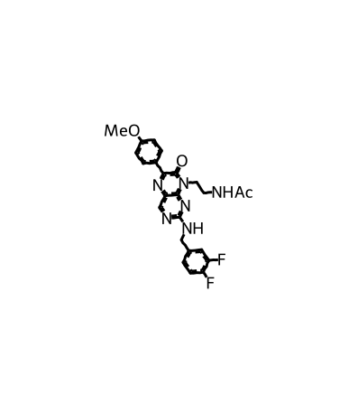 COc1ccc(-c2nc3cnc(NCc4ccc(F)c(F)c4)nc3n(CCNC(C)=O)c2=O)cc1